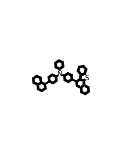 c1ccc(N(c2ccc(-c3cccc4ccccc34)cc2)c2ccc(-c3cc4ccccc4c4sc5ccccc5c34)cc2)cc1